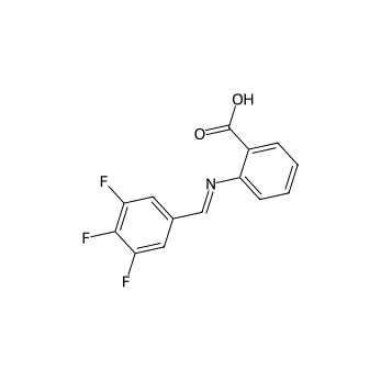 O=C(O)c1ccccc1/N=C/c1cc(F)c(F)c(F)c1